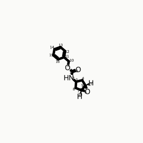 O=C(NC1C[C@@H]2O[C@@H]2C1)OCc1ccccc1